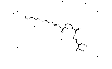 CCCCCCCCCOC(=O)C1CCCC(C(=O)OCCC(C)C)C1